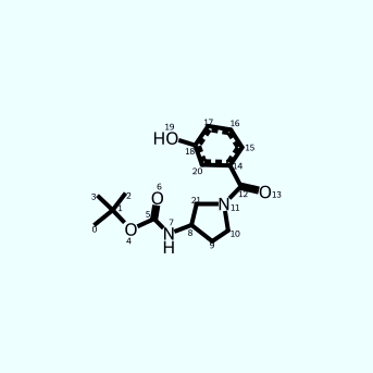 CC(C)(C)OC(=O)NC1CCN(C(=O)c2cccc(O)c2)C1